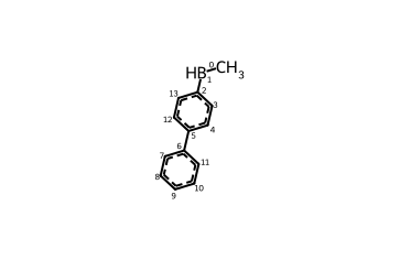 CBc1ccc(-c2ccccc2)cc1